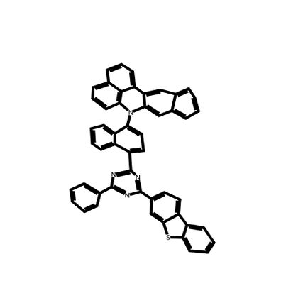 c1ccc(-c2nc(-c3ccc4c(c3)sc3ccccc34)nc(-c3ccc(N4c5cc6ccccc6cc5-c5cccc6cccc4c56)c4ccccc34)n2)cc1